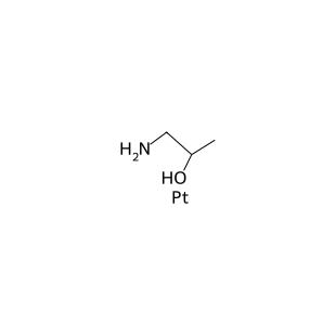 CC(O)CN.[Pt]